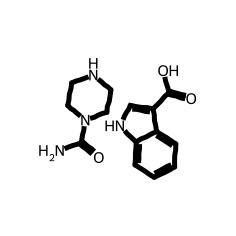 NC(=O)N1CCNCC1.O=C(O)c1c[nH]c2ccccc12